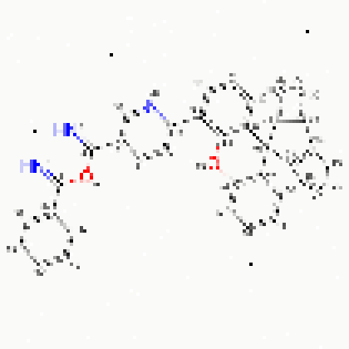 N=C(OC(=N)c1ccc(-c2cccc3c2Oc2ccccc2C32C3=C(CCC=C3)c3ccccc32)nc1)c1ccccc1